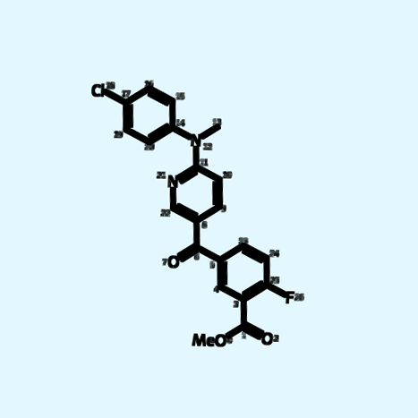 COC(=O)c1cc(C(=O)c2ccc(N(C)c3ccc(Cl)cc3)nc2)ccc1F